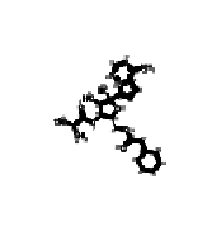 CC(C)(C)[C@H](N)C(=O)O[C@H]1[C@@H](O)[C@](C#N)(c2ccc3c(N)ncnn23)O[C@@H]1COC(=O)CC1CCCCC1